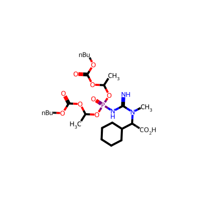 CCCCOC(=O)OC(C)OP(=O)(NC(=N)N(C)C(C(=O)O)C1CCCCC1)OC(C)OC(=O)OCCCC